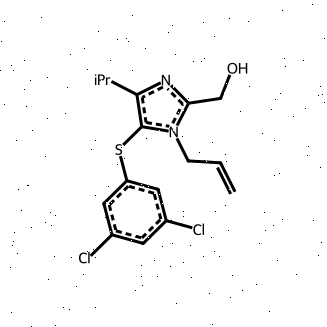 C=CCn1c(CO)nc(C(C)C)c1Sc1cc(Cl)cc(Cl)c1